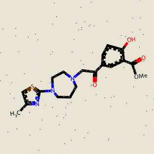 COC(=O)c1cc(C(=O)CN2CCCN(c3nc(C)cs3)CC2)ccc1O